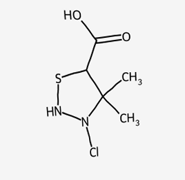 CC1(C)C(C(=O)O)SNN1Cl